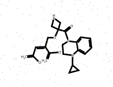 C=C(Cl)/C=C(/COC1(C(=O)N2CCN(C3CC3)c3ccccc32)CNC1)C(=C)Cl